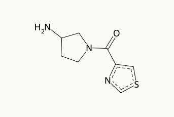 NC1CCN(C(=O)c2cscn2)C1